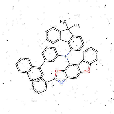 CC1(C)c2ccccc2-c2c(N(c3cccc(-c4cccc5ccccc45)c3)c3c4oc(-c5ccccc5)nc4cc4oc5ccccc5c34)cccc21